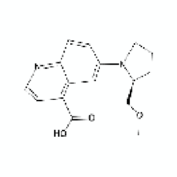 COC[C@@H]1CCCN1c1ccc2nccc(C(=O)O)c2c1